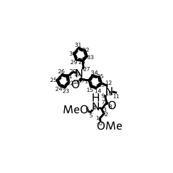 COCCC(NCOC)C(=O)CN(C)Cc1ccc(C(=O)N(Cc2ccccc2)Cc2ccccc2)cc1